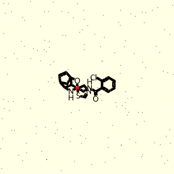 O=C(NCC1NC2C3C=CC(C3)(O1)C2C1CN=CS1)c1ccccc1Cl